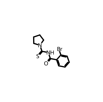 O=C(NC(=S)N1CCCC1)c1ccccc1Br